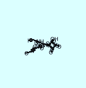 COCCCCN1CCN(C(=O)CCCN2C(=O)CC(SC(CCCCNC(=O)CCCc3ccc(I)cc3)CNC(=O)CN3CCN(COC=O)CCN(COC=O)CCN(CC(=O)O)CC3)C2=O)CC1